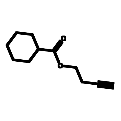 C#CCCOC(=O)C1CCCCC1